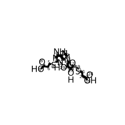 Nc1nc(SCCC(=O)O)nc2c1ncn2[C@@H]1O[C@H](CSCCC(=O)O)[C@@H](O)[C@H]1O